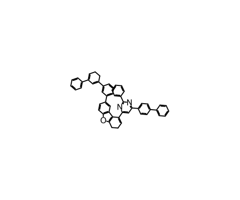 C1=C(c2ccccc2)C=C(c2cccc(-c3ccc4oc5c(c4c3)C(c3cc(-c4ccc(-c6ccccc6)cc4)nc(-c4ccccc4)n3)=CCC5)c2)CC1